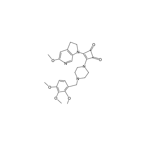 COc1cc2c(cn1)N(c1c(N3CCN(Cc4ccc(OC)c(OC)c4OC)CC3)c(=O)c1=O)CC2